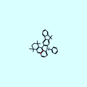 Cc1ccc2c(c1-c1cc3c(cc1N(c1ccccc1)c1ccccc1)C(C)(C)c1ccccc1-3)C(C)(C)CCC2(C)C